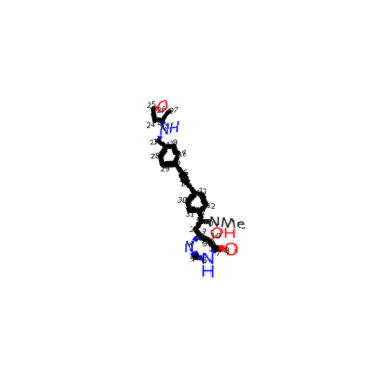 CNC(Cc1nc[nH]c(=O)c1O)c1ccc(C#Cc2ccc(CNC3CCOC3)cc2)cc1